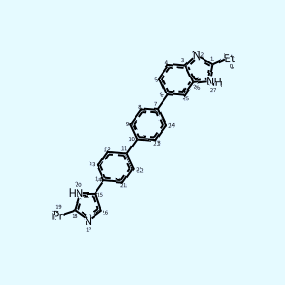 CCc1nc2ccc(-c3ccc(-c4ccc(-c5cnc(C(C)C)[nH]5)cc4)cc3)cc2[nH]1